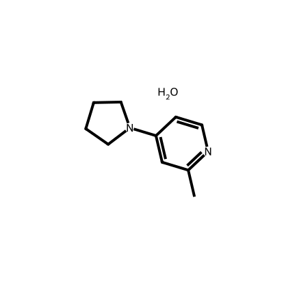 Cc1cc(N2CCCC2)ccn1.O